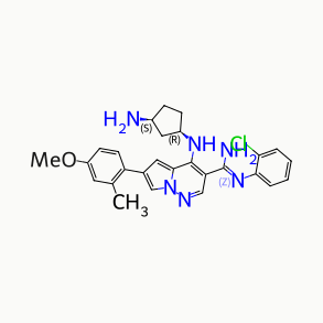 COc1ccc(-c2cc3c(N[C@@H]4CC[C@H](N)C4)c(/C(N)=N/c4ccccc4Cl)cnn3c2)c(C)c1